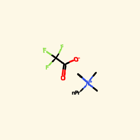 CCC[N+](C)(C)C.O=C([O-])C(F)(F)F